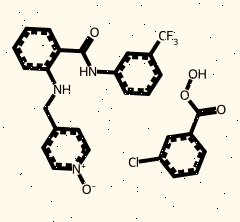 O=C(Nc1cccc(C(F)(F)F)c1)c1ccccc1NCc1cc[n+]([O-])cc1.O=C(OO)c1cccc(Cl)c1